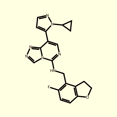 Fc1ccc2c(c1CNc1ncc(-c3ccnn3C3CC3)c3nncn13)CCO2